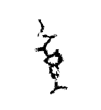 CCOC(=O)C(=O)c1ccc2nn(C(C)C)cc2c1